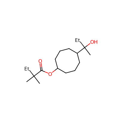 CCC(C)(C)C(=O)OC1CCCC(C(C)(O)CC)CCC1